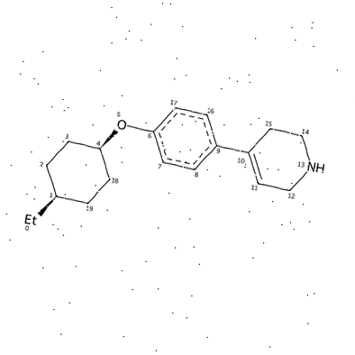 CC[C@H]1CC[C@@H](Oc2ccc(C3=CCNCC3)cc2)CC1